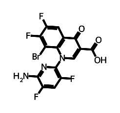 Nc1nc(-n2cc(C(=O)O)c(=O)c3cc(F)c(F)c(Br)c32)c(F)cc1F